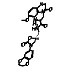 COc1ccc2ncc(=O)n(C[C@H](N)C(=O)NC[C@@H]3CN(c4ccc5c(c4)OCCO5)C(=O)O3)c2c1